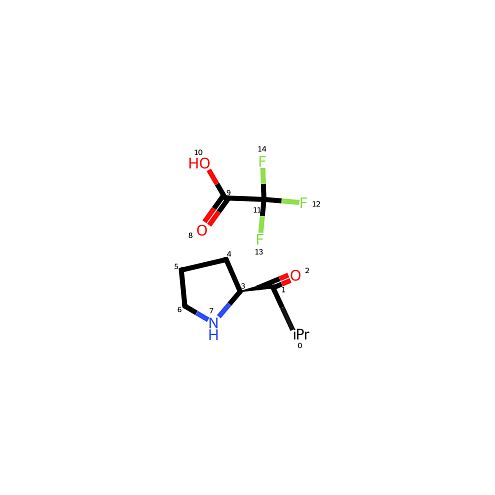 CC(C)C(=O)[C@@H]1CCCN1.O=C(O)C(F)(F)F